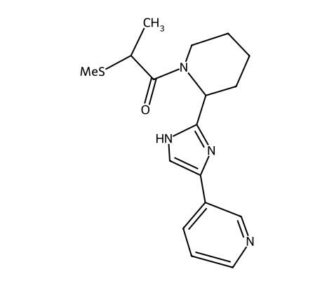 CSC(C)C(=O)N1CCCCC1c1nc(-c2cccnc2)c[nH]1